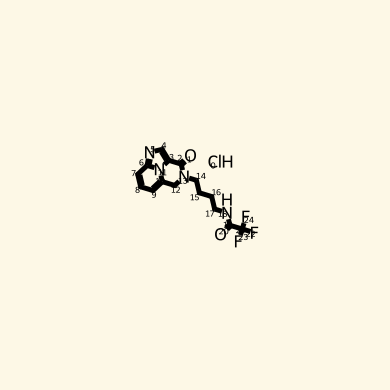 Cl.O=C1c2cnc3cccc(n23)CN1CCCCNC(=O)C(F)(F)F